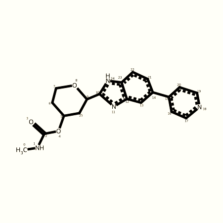 CNC(=O)OC1CCOC(c2nc3cc(-c4ccncc4)ccc3[nH]2)C1